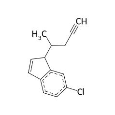 C#CCC(C)C1C=Cc2ccc(Cl)cc21